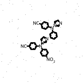 N#Cc1ccc(N(c2ccc([N+](=O)[O-])cc2)n2ccnc2)cc1.N#Cc1ccc(N(c2ccccc2)n2ccnc2)cc1